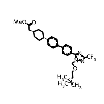 COC(=O)C[C@H]1CC[C@H](c2ccc(-c3ccc(-c4nc(C(F)(F)F)nn4COCC[Si](C)(C)C)cc3)cc2)CC1